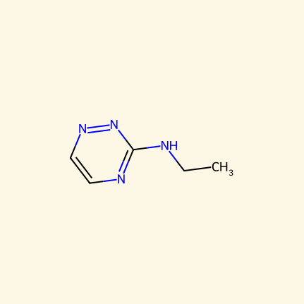 CCNc1nccnn1